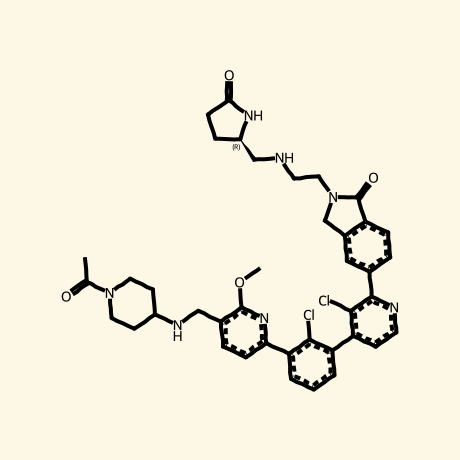 COc1nc(-c2cccc(-c3ccnc(-c4ccc5c(c4)CN(CCNC[C@H]4CCC(=O)N4)C5=O)c3Cl)c2Cl)ccc1CNC1CCN(C(C)=O)CC1